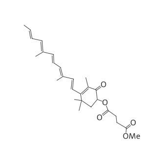 C/C=C/C=C(C)/C=C/C=C(C)/C=C/C1=C(C)C(=O)C(OC(=O)CCC(=O)OC)CC1(C)C